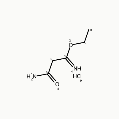 CCOC(=N)CC(N)=O.Cl